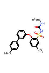 CCCCCNC(=O)NS(=O)(=O)c1cc([N+](=O)[O-])ccc1Oc1cccc(-c2ccc(OC)cc2)c1